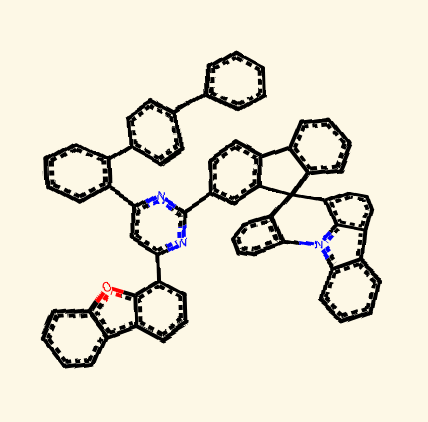 c1ccc(-c2ccc(-c3ccccc3-c3cc(-c4cccc5c4oc4ccccc45)nc(-c4ccc5c(c4)C4(c6ccccc6-5)c5ccccc5-n5c6ccccc6c6cccc4c65)n3)cc2)cc1